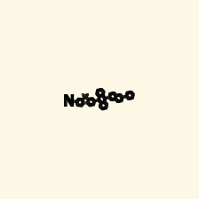 CC1(C)c2cc(C#N)ccc2-c2ccc(-c3c4ccccc4c(-c4ccc5cc(-c6ccccc6)ccc5c4)c4ccccc34)cc21